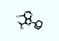 Nc1ncnc2c1c(C(=O)O)nn2C12CCC(CC1)C2